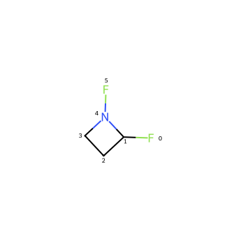 FC1CCN1F